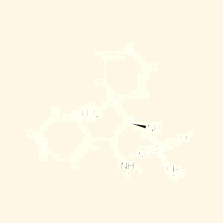 CC1([C@@H](NS(C)(=O)=O)[C@H](N)c2ccccc2)C=CC=CC1